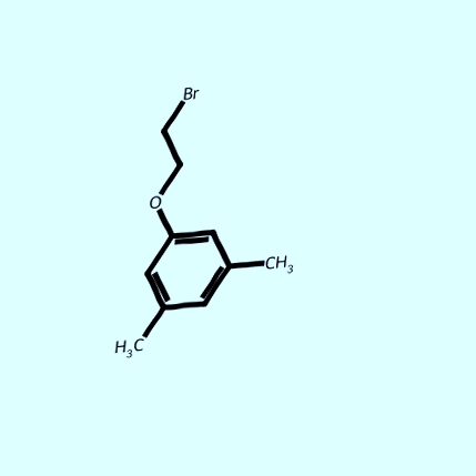 Cc1cc(C)cc(OCCBr)c1